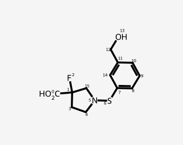 O=C(O)C1(F)CCN(Sc2cccc(CO)c2)C1